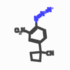 N#CC1(c2ccc(N=[N+]=[N-])c([N+](=O)[O-])c2)CCC1